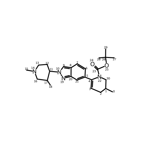 CC1CC=C(c2ccc3cn(C4CCN(C)CC4C)nc3c2)N(C(=O)OC(C)(C)C)C1